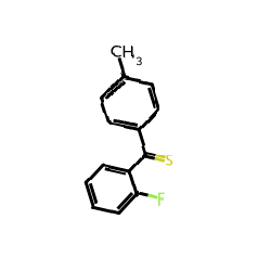 Cc1ccc(C(=S)c2ccccc2F)cc1